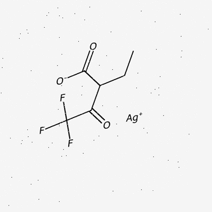 CCC(C(=O)[O-])C(=O)C(F)(F)F.[Ag+]